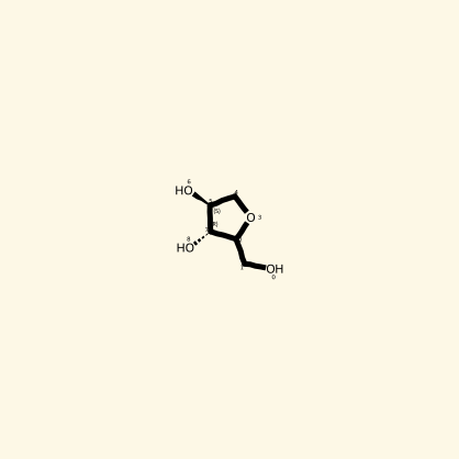 OCC1O[CH][C@H](O)[C@H]1O